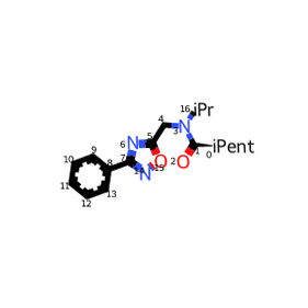 CCC[C@H](C)C(=O)N(Cc1nc(-c2ccccc2)no1)C(C)C